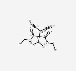 CCOC(=O)C(C(=O)OCC)(C(C)C)C(C#N)C#N